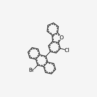 Clc1cc(-c2c3ccccc3c(Br)c3ccccc23)cc2c1oc1ccccc12